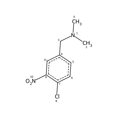 CN(C)Cc1ccc(Cl)c([N+](=O)[O-])c1